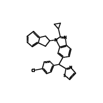 Clc1ccc(C(c2ccc3nc(C4CC4)n(C4Cc5ccccc5C4)c3c2)c2nccs2)cc1